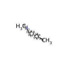 CC#Cc1ccc([C@H]2CC[C@H](CC/C=C/C)CC2)cc1